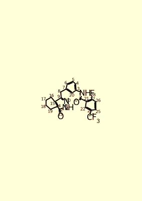 O=C(Nc1cccc(Cc2n[nH]c(=O)c3c2CCCC3)c1)c1cc(C(F)(F)F)ccc1F